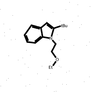 CCOCCn1c(C(C)(C)C)cc2ccccc21